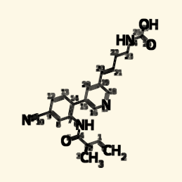 C=C[C@@H](C)C(=O)Nc1cc(C#N)ccc1-c1cncc(C=CCCNC(=O)O)c1